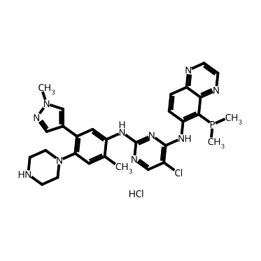 Cc1cc(N2CCNCC2)c(-c2cnn(C)c2)cc1Nc1ncc(Cl)c(Nc2ccc3nccnc3c2P(C)C)n1.Cl